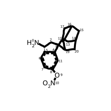 NCCC1(c2cccc(O[N+](=O)[O-])c2)C2CC3CC(C2)CC1C3